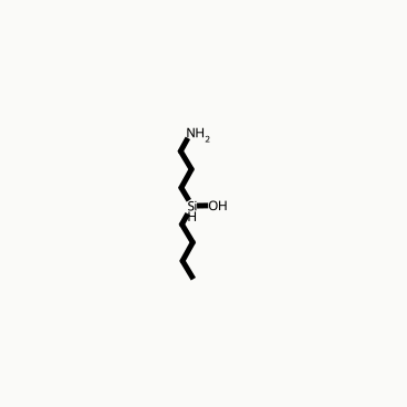 CCCC[SiH](O)CCCN